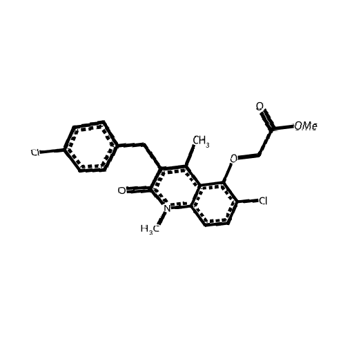 COC(=O)COc1c(Cl)ccc2c1c(C)c(Cc1ccc(Cl)cc1)c(=O)n2C